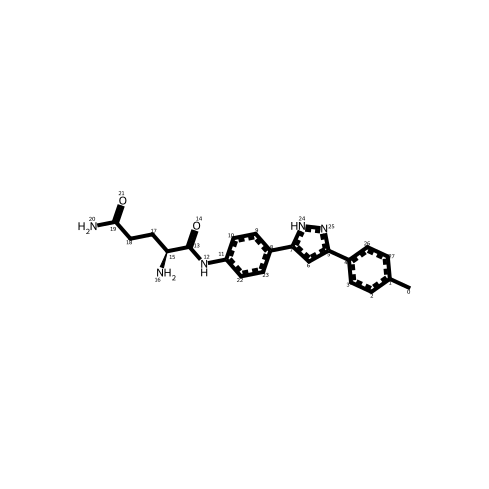 Cc1ccc(-c2cc(-c3ccc(NC(=O)[C@@H](N)CCC(N)=O)cc3)[nH]n2)cc1